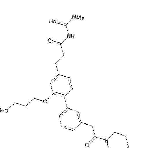 CNC(=N)NC(=O)CCc1ccc(-c2cccc(CC(=O)N3CCCCC3)c2)c(OCCCOC)c1